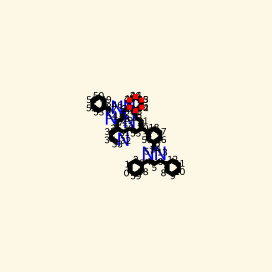 c1ccc(-c2cc(-c3ccccc3)nc(-c3cccc(-c4cc(-c5ccccn5)nc(-c5ncccc5-c5cc(-c6ccccc6)nc(-c6ccccc6)n5)c4)c3)n2)cc1